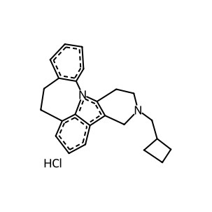 Cl.c1ccc2c(c1)CCc1cccc3c4c(n-2c13)CCN(CC1CCC1)C4